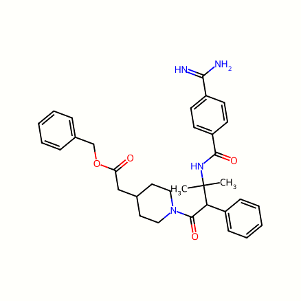 CC(C)(NC(=O)c1ccc(C(=N)N)cc1)C(C(=O)N1CCC(CC(=O)OCc2ccccc2)CC1)c1ccccc1